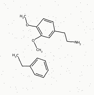 CCc1ccccc1.COc1ccc(CCN)cc1OC